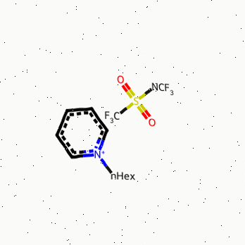 CCCCCC[n+]1ccccc1.O=S(=O)(NC(F)(F)F)C(F)(F)F